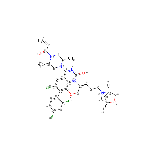 C=CC(=O)N1C[C@H](C)N(c2nc(=O)n3c4c(c(-c5ccc(F)cc5F)c(Cl)cc24)OC[C@@H]3CCCN2C[C@@H]3C[C@H]2CO3)C[C@H]1C